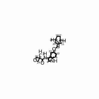 CC1(C(=O)Nc2c[nH]c3ccc(OC[C@@H]4C[C@H]5CC[C@@H](C4)N5)cc23)COC1